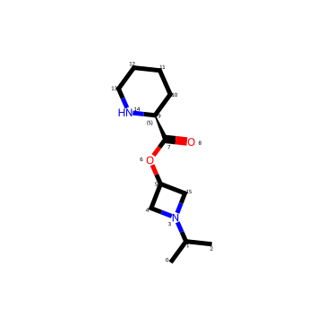 CC(C)N1CC(OC(=O)[C@@H]2CCCCN2)C1